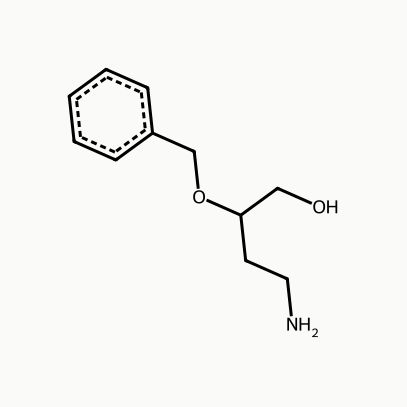 NCCC(CO)OCc1ccccc1